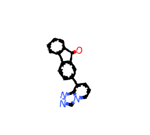 O=C1c2ccccc2-c2ccc(-c3cccn4cnnc34)cc21